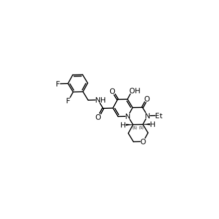 CCN1C(=O)c2c(O)c(=O)c(C(=O)NCc3cccc(F)c3F)cn2[C@H]2CCOC[C@H]21